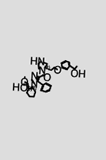 COC[C@]1(O)CCCC[C@H]1n1cnc(C(=O)N2CCNC[C@H]2CCOc2cccc(C(C)O)c2)c1-c1ccccc1